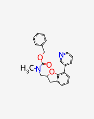 CN(CC1Cc2cccc(-c3cccnc3)c2O1)C(=O)OCc1ccccc1